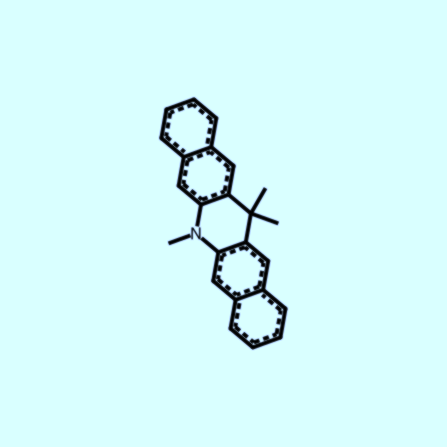 CN1c2cc3ccccc3cc2C(C)(C)c2cc3ccccc3cc21